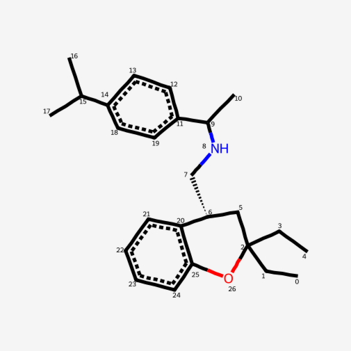 CCC1(CC)C[C@@H](CNC(C)c2ccc(C(C)C)cc2)c2ccccc2O1